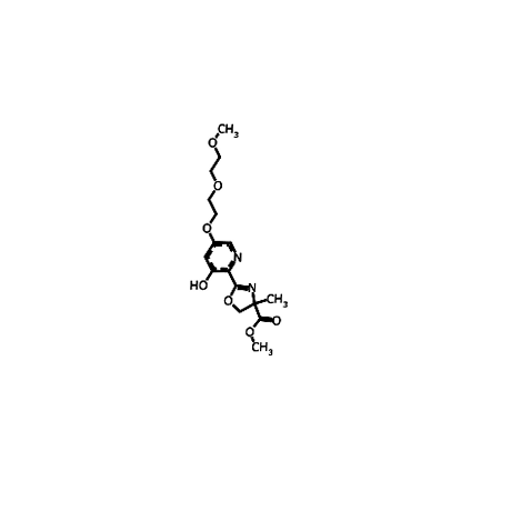 COCCOCCOc1cnc(C2=NC(C)(C(=O)OC)CO2)c(O)c1